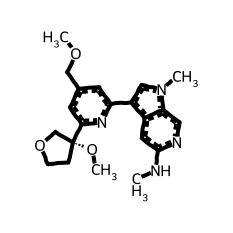 CNc1cc2c(-c3cc(COC)cc([C@@]4(OC)CCOC4)n3)cn(C)c2cn1